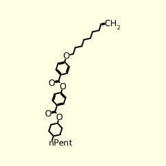 C=CCCCCCCCOc1ccc(C(=O)Oc2ccc(C(=O)OC3CCC(CCCCC)CC3)cc2)cc1